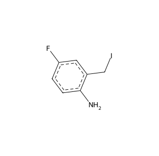 Nc1ccc(F)cc1CI